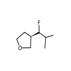 CC(C)C(F)[C@@H]1CCOC1